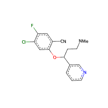 CNCCC(Oc1cc(Cl)c(F)cc1C#N)c1cccnc1